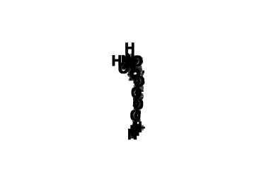 [N-]=[N+]=NCCOCCOCCOCCOc1ccc(-n2c(=O)[nH][nH]c2=O)cc1